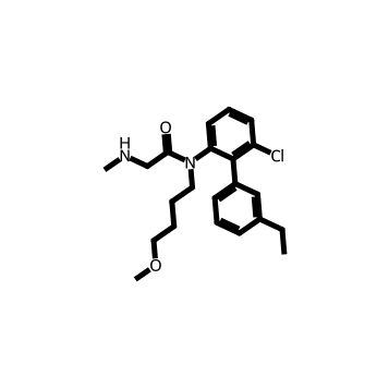 CCc1cccc(-c2c(Cl)cccc2N(CCCCOC)C(=O)CNC)c1